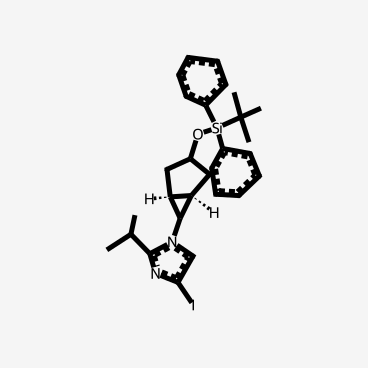 CC(C)c1nc(I)cn1C1[C@H]2CC(O[Si](c3ccccc3)(c3ccccc3)C(C)(C)C)C[C@@H]12